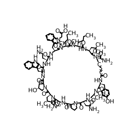 CCCC[C@H]1C(=O)N(C)[C@@H](CCCC)C(=O)N[C@@H](CC(C)C)C(=O)N[C@H](C(N)=O)CSCC(=O)N[C@@H](Cc2ccc(O)cc2)C(=O)N(C)[C@@H](C)C(=O)N[C@@H](CC(N)=O)C(=O)N2CCC[C@H]2C(=O)N[C@@H](CN)C(=O)N[C@@H](CC(C)C)C(=O)N2C[C@H](O)C[C@H]2C(=O)N[C@@H](Cc2c[nH]c3ccccc23)C(=O)N[C@@H](CCN)C(=O)N[C@@H](Cc2cn(CC(=O)O)c3ccccc23)C(=O)N1C